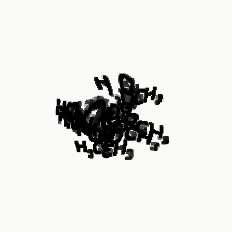 CC(C)C(=O)O[C@@H]1[C@H](OC(=O)C(C)C)[C@@H](COCC(C)(C)C=O)O[C@H]1N1C=CC(NO)=NC1O